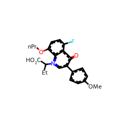 CCCOc1ccc(F)c2c(=O)c(-c3ccc(OC)cc3)cn(C(CC)C(=O)O)c12